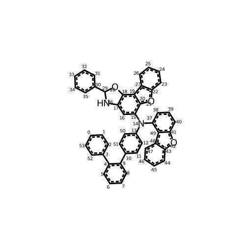 c1ccc(-c2ccccc2-c2ccc(N(c3cc4c(c5c3oc3ccccc35)OC(c3ccccc3)N4)c3cccc4oc5ccccc5c34)cc2)cc1